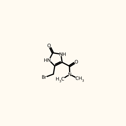 CN(C)C(=O)c1[nH]c(=O)[nH]c1CBr